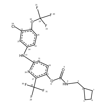 O=C(NCC1CCC1)Oc1cnc(Nc2ccc(OC(F)(F)F)c(Cl)c2)nc1C(F)(F)F